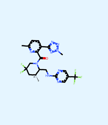 Cc1ccc(-c2nnn(C)n2)c(C(=O)N2CC(F)(F)C[C@@H](C)C2CNc2ncc(C(F)(F)F)cn2)n1